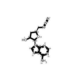 [N-]=[N+]=NC[C@@H]1CC(O)[C@H](n2cnc3c(N)ncnc32)O1